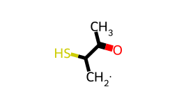 [CH2]C(S)C(C)=O